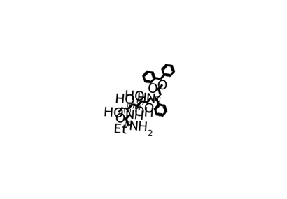 CC[C@H](N)C(=O)N[C@@H](CO)[C@@H](O)[C@@H](O)[C@H](O)C(=O)N[C@@H](CC(=O)OC(c1ccccc1)c1ccccc1)c1ccccc1